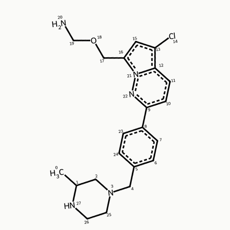 CC1CN(Cc2ccc(-c3ccc4c(Cl)cc(COCN)n4n3)cc2)CCN1